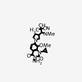 CNC(C1CCN(c2ccc3c(=O)n(N)c(=O)n(C4CC4)c3c2OC)C1)C(C)(C)C#N